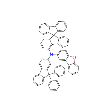 c1ccc(C2(c3ccccc3)c3ccccc3-c3ccc(N(c4ccc5oc6ccccc6c5c4)c4cccc5c4-c4ccccc4C54c5ccccc5-c5ccccc54)cc32)cc1